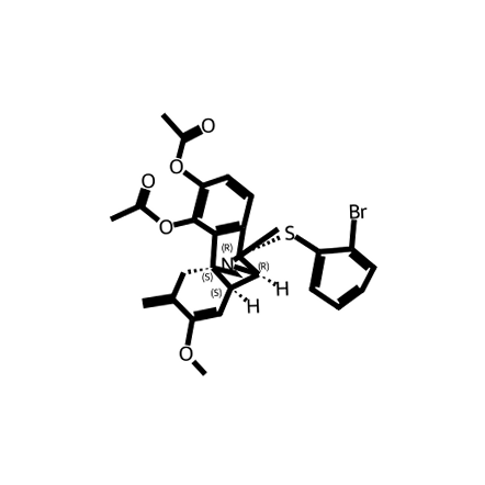 C=C1C[C@@]23CN(C)[C@@H]([C@H](Sc4ccccc4Br)c4ccc(OC(C)=O)c(OC(C)=O)c42)[C@H]3C=C1OC